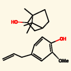 C=CCc1ccc(O)c(OC)c1.CC1(C)C2CCC1(C)C(O)C2